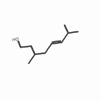 CC(C)C=CCC(C)CCO